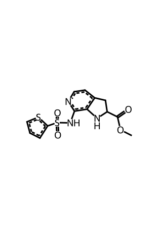 COC(=O)C1Cc2ccnc(NS(=O)(=O)c3cccs3)c2N1